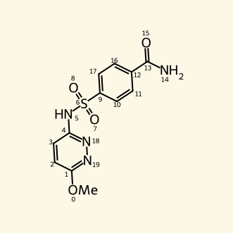 COc1ccc(NS(=O)(=O)c2ccc(C(N)=O)cc2)nn1